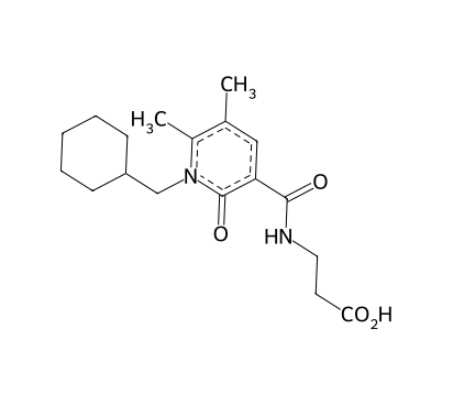 Cc1cc(C(=O)NCCC(=O)O)c(=O)n(CC2CCCCC2)c1C